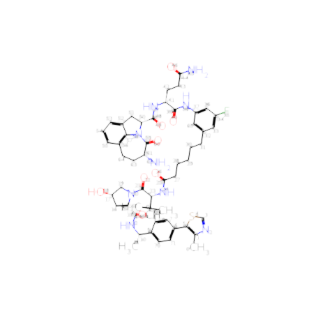 Cc1ncsc1-c1ccc([C@H](C)NC(=O)[C@@H]2C[C@@H](O)CN2C(=O)[C@@H](NC(=O)CCCCCc2cc(F)cc(NC(=O)[C@H](CCC(N)=O)NC(=O)[C@@H]3Cc4cccc5c4N3C(=O)[C@@H](N)CC5)c2)C(C)(C)C)cc1